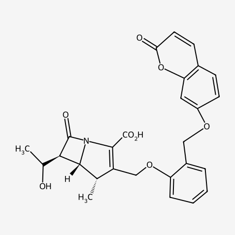 CC(O)[C@H]1C(=O)N2C(C(=O)O)=C(COc3ccccc3COc3ccc4ccc(=O)oc4c3)[C@H](C)[C@H]12